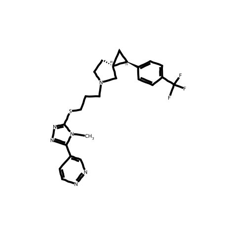 Cn1c(SCCCN2CC[C@@]3(C[C@H]3c3ccc(C(F)(F)F)cc3)C2)nnc1-c1ccnnc1